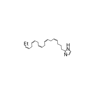 CC/C=C\C/C=C\C/C=C\C/C=C\C/C=C\CCCc1ncc[nH]1